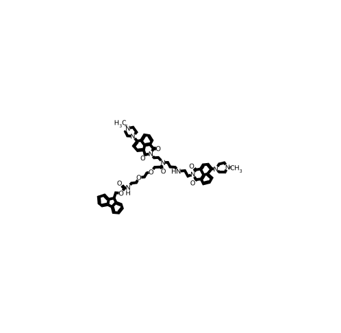 CN1CCN(c2ccc3c4c(cccc24)C(=O)N(CCNCCCN(CCN2C(=O)c4cccc5c(N6CCN(C)CC6)ccc(c45)C2=O)C(=O)COCCOCCNC(=O)OCC2c4ccccc4-c4ccccc42)C3=O)CC1